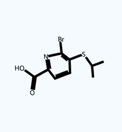 CC(C)Sc1ccc(C(=O)O)nc1Br